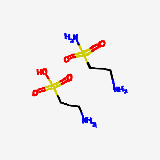 NCCS(=O)(=O)O.NCCS(N)(=O)=O